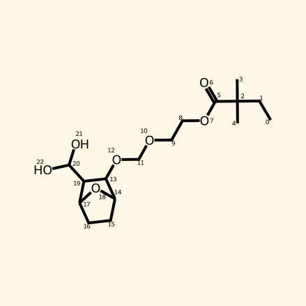 CCC(C)(C)C(=O)OCCOCOC1C2CCC(O2)C1C(O)O